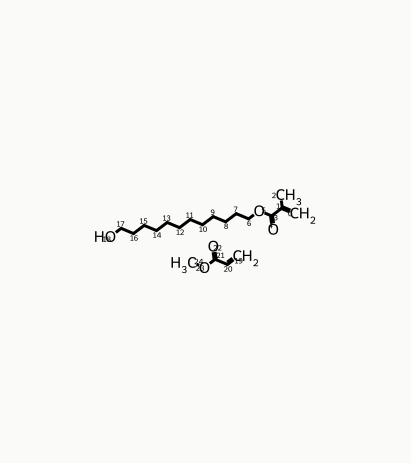 C=C(C)C(=O)OCCCCCCCCCCCCO.C=CC(=O)OC